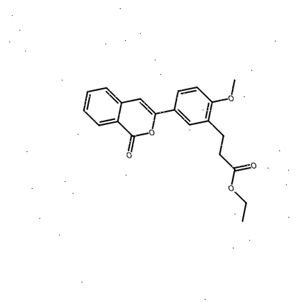 CCOC(=O)CCc1cc(-c2cc3ccccc3c(=O)o2)ccc1OC